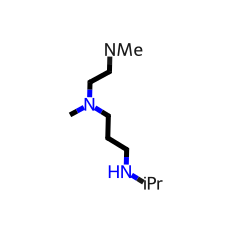 CNCCN(C)CCCNC(C)C